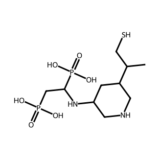 CC(CS)C1CNCC(NC(CP(=O)(O)O)P(=O)(O)O)C1